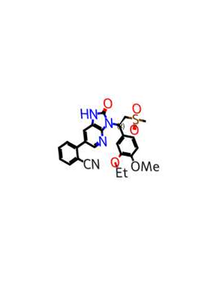 CCOc1cc([C@H](CS(C)(=O)=O)n2c(=O)[nH]c3cc(-c4ccccc4C#N)cnc32)ccc1OC